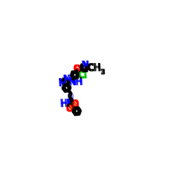 Cc1ccc(Oc2ccc(Nc3ncnc4ccc(/C=C/CNS(=O)(=O)c5ccccc5)cc34)cc2Cl)cn1